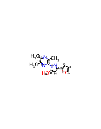 Cc1nc(C)c(-n2nc(-c3ccco3)cc2O)nc1C